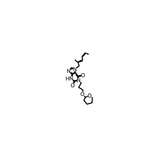 C/C=C\C=C(/C)Cn1cnc2[nH]c(=O)n(CCCOC3CCCCO3)c(=O)c21